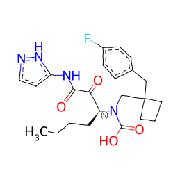 CCCC[C@@H](C(=O)C(=O)Nc1ccn[nH]1)N(CC1(Cc2ccc(F)cc2)CCC1)C(=O)O